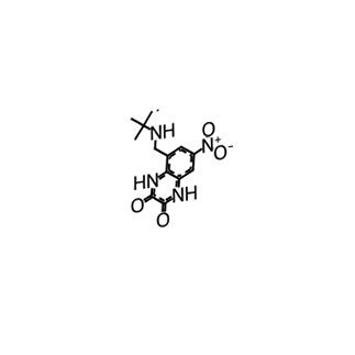 [CH2]C(C)(C)NCc1cc([N+](=O)[O-])cc2[nH]c(=O)c(=O)[nH]c12